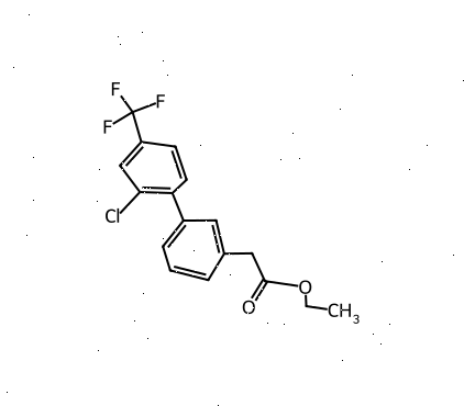 CCOC(=O)Cc1cccc(-c2ccc(C(F)(F)F)cc2Cl)c1